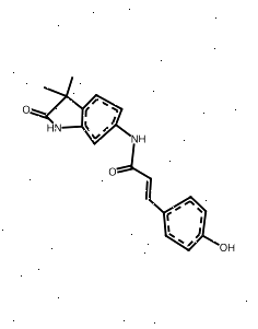 CC1(C)C(=O)Nc2cc(NC(=O)C=Cc3ccc(O)cc3)ccc21